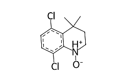 CC1(C)CC[NH+]([O-])c2c(Cl)ccc(Cl)c21